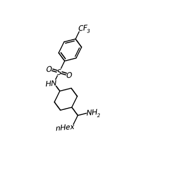 CCCCCCC(N)C1CCC(NS(=O)(=O)c2ccc(C(F)(F)F)cc2)CC1